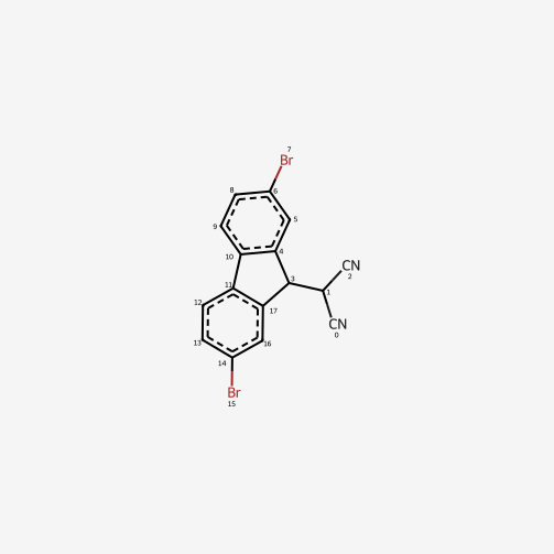 N#CC(C#N)C1c2cc(Br)ccc2-c2ccc(Br)cc21